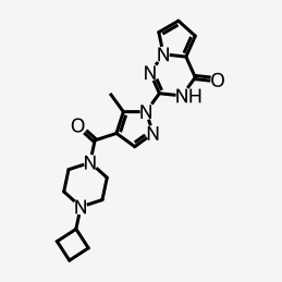 Cc1c(C(=O)N2CCN(C3CCC3)CC2)cnn1-c1nn2cccc2c(=O)[nH]1